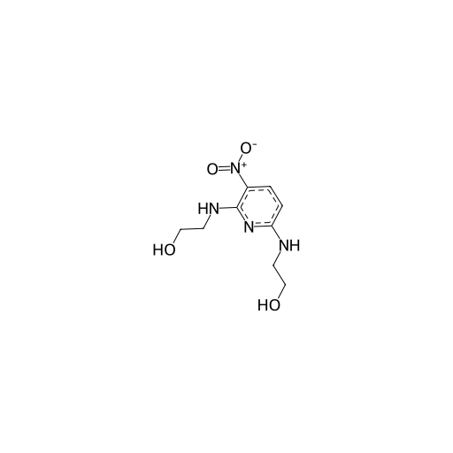 O=[N+]([O-])c1ccc(NCCO)nc1NCCO